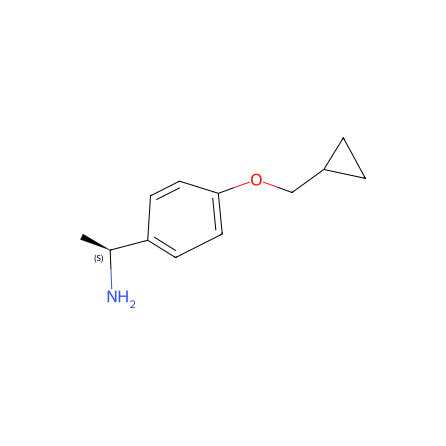 C[C@H](N)c1ccc(OCC2CC2)cc1